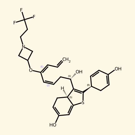 C=C/C=C(\C=C/C[C@H](O)C1=C([C@H]2C=CC(O)=CC2)SC2=CC(O)=CC[C@H]21)OC1CN(CCC(F)(F)F)C1